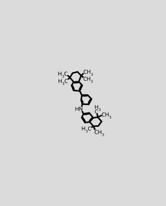 CC1(C)CCC(C)(C)c2cc(Nc3cccc(-c4ccc5c(c4)C(C)(C)CCC5(C)C)c3)ccc21